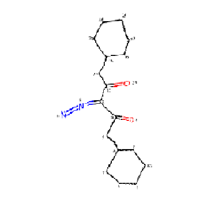 [N-]=[N+]=C(C(=O)CC1CCCCC1)C(=O)CC1CCCCC1